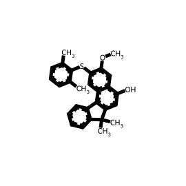 COc1cc2c(O)cc3c(c2cc1Sc1c(C)cccc1C)-c1ccccc1C3(C)C